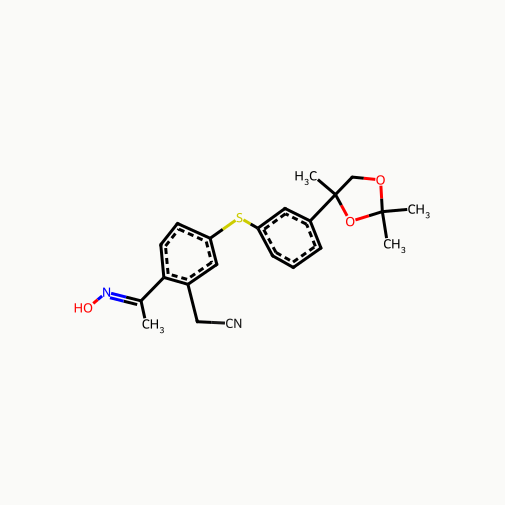 C/C(=N\O)c1ccc(Sc2cccc(C3(C)COC(C)(C)O3)c2)cc1CC#N